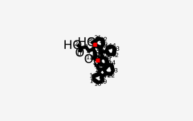 O=C(O)CCC(C(=O)O)N(C(=O)OCC1c2ccccc2-c2ccccc21)C(c1ccccc1)(c1ccccc1)c1ccccc1